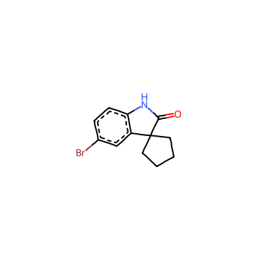 O=C1Nc2ccc(Br)cc2C12CCCC2